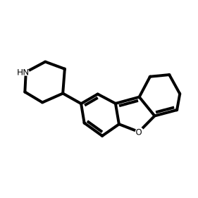 C1=CC2OC3=CCCCC3=C2C=C1C1CCNCC1